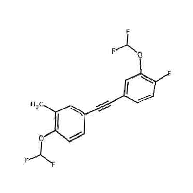 Cc1cc(C#Cc2ccc(F)c(OC(F)F)c2)ccc1OC(F)F